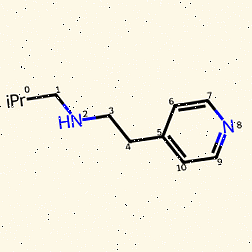 CC(C)CNCCc1ccncc1